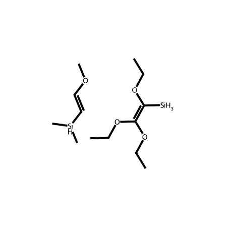 CCOC([SiH3])=C(OCC)OCC.COC=C[SiH](C)C